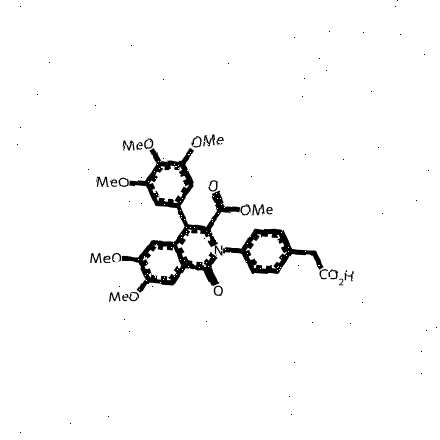 COC(=O)c1c(-c2cc(OC)c(OC)c(OC)c2)c2cc(OC)c(OC)cc2c(=O)n1-c1ccc(CC(=O)O)cc1